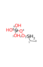 CC[SiH2]OO[Si](O)(O)O